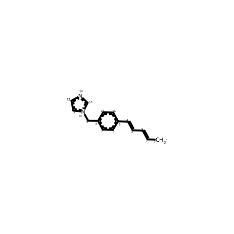 [CH2]C=CC=Cc1ccc(Cn2ccnc2)cc1